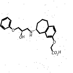 O=C(O)COc1ccc2c(c1)C[C@H](NC[C@@H](O)COc1ccccc1)CCC2